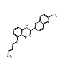 CC=CCOc1cccc(NC(=O)c2ccc3nc(C)ccc3c2)c1F